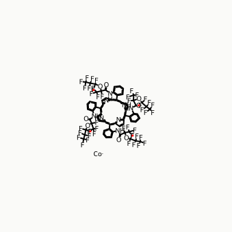 O=C(Nc1ccccc1-c1c2nc(c(-c3ccccc3NC(=O)C(F)(OC(F)(F)C(F)(F)C(F)(F)F)C(F)(F)F)c3ccc([nH]3)c(-c3ccccc3NC(=O)C(F)(OC(F)(F)C(F)(F)C(F)(F)F)C(F)(F)F)c3nc(c(-c4ccccc4NC(=O)C(F)(OC(F)(F)C(F)(F)C(F)(F)F)C(F)(F)F)c4ccc1[nH]4)C=C3)C=C2)C(F)(OC(F)(F)C(F)(F)C(F)(F)F)C(F)(F)F.[Co]